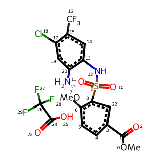 COC(=O)c1ccc(OC)c(S(=O)(=O)Nc2cc(C(F)(F)F)c(Cl)cc2N)c1.O=C(O)C(F)(F)F